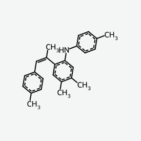 C/C(=C/c1ccc(C)cc1)c1cc(C)c(C)cc1Nc1ccc(C)cc1